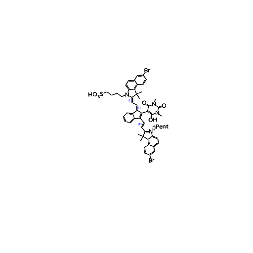 CCCCC[N+]1=C(/C=C/C2=C(c3c(O)n(C)c(=O)n(C)c3=O)C(=C/C=C3/N(CCCCS(=O)(=O)O)c4ccc5cc(Br)ccc5c4C3(C)C)/c3ccccc32)C(C)(C)c2c1ccc1cc(Br)ccc21